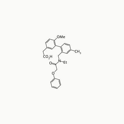 CCN(Cc1cc(C)ccc1-c1cc(CC(=O)O)ccc1OC)C(=O)COc1ccccc1